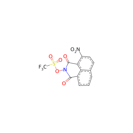 O=C1c2cccc3ccc([N+](=O)[O-])c(c23)C(=O)N1OS(=O)(=O)C(F)(F)F